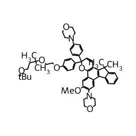 COc1cc2c3c(c4c(c2cc1N1CCOCC1)-c1ccccc1C4(C)C)C=CC(c1ccc(OCCOC(C)(C)CCOC(C)(C)C)cc1)(c1ccc(N2CCOCC2)cc1)O3